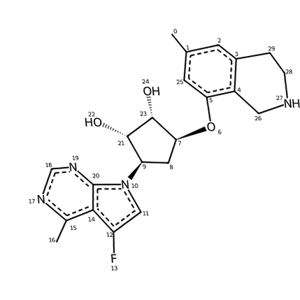 Cc1cc2c(c(O[C@H]3C[C@@H](n4cc(F)c5c(C)ncnc54)[C@H](O)[C@@H]3O)c1)CNCC2